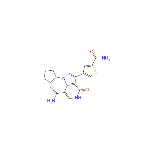 NC(=O)c1cc(-c2cn(C3CCCC3)c3c(C(N)=O)c[nH]c(=O)c23)cs1